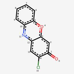 O=c1cc2oc3ccccc3nc-2cc1Cl